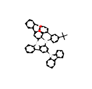 CC(C)(C)c1ccc(N2c3cc4oc5ccccc5c4cc3B3c4ccccc4-c4cc(-n5c6ccccc6c6ccccc65)cc2c43)c(-c2ccccc2)c1